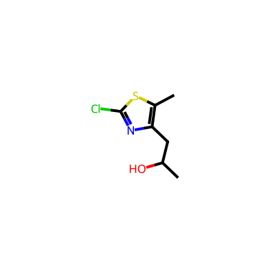 Cc1sc(Cl)nc1CC(C)O